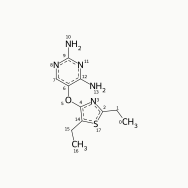 CCc1nc(Oc2cnc(N)nc2N)c(CC)s1